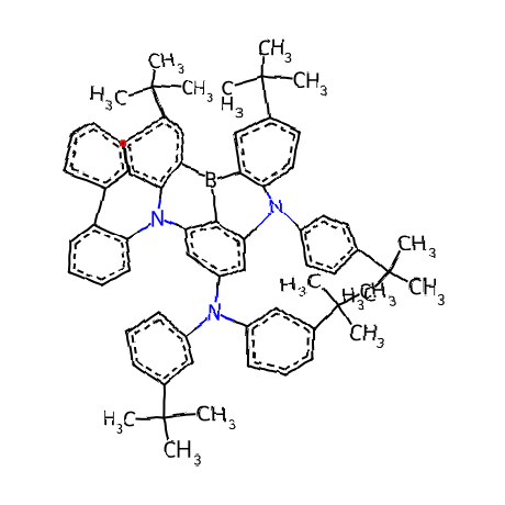 CC(C)(C)c1ccc(N2c3ccc(C(C)(C)C)cc3B3c4cc(C(C)(C)C)ccc4N(c4ccccc4-c4ccccc4)c4cc(N(c5cccc(C(C)(C)C)c5)c5cccc(C(C)(C)C)c5)cc2c43)cc1